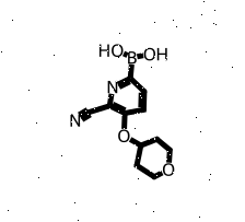 N#Cc1nc(B(O)O)ccc1OC1CCOCC1